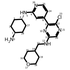 N[C@H]1CC[C@H](Nc2cc(-c3nc(NCC4CCOCC4)cnc3Cl)ccn2)CC1